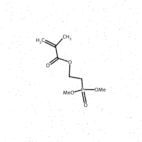 C=C(C)C(=O)OCCP(=O)(OC)OC